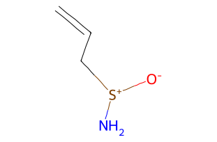 C=CC[S+](N)[O-]